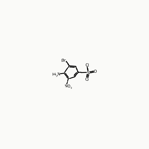 Nc1c(Br)cc(S(=O)(=O)Cl)cc1[N+](=O)[O-]